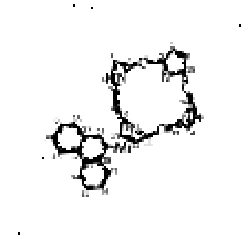 C1=Cc2cc3ccc(cc4nc(cc5ccc(cc1n2)[nH]5)C=C4)[nH]3.[Mn][c]1cc2ccccc2c2ccccc12